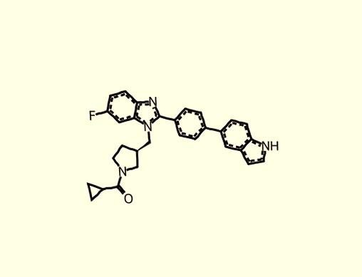 O=C(C1CC1)N1CC[C@@H](Cn2c(-c3ccc(-c4ccc5[nH]ccc5c4)cc3)nc3ccc(F)cc32)C1